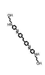 OCCCCNc1ccc(/N=N/c2ccc(/C=C/c3ccc(/N=N/c4ccc(NCCCCO)cc4)cc3)cc2)cc1